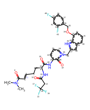 CN(C)C(=O)/C=C/CC[C@H](NC(=O)CC(F)(F)F)C(=O)Nc1cccn(Cc2cc3cccc(OCc4ccc(F)cc4F)c3[nH]2)c1=O